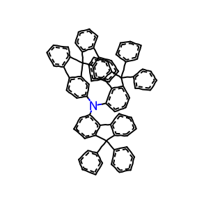 c1ccc(C2(c3ccccc3)c3ccccc3-c3c(N(c4ccc5c(c4)C4(c6ccccc6-c6ccccc64)c4ccccc4-5)c4cccc5c4-c4ccccc4C5(c4ccccc4)c4ccccc4)cccc32)cc1